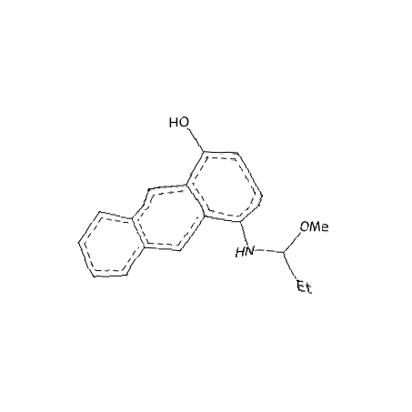 CCC(Nc1ccc(O)c2cc3ccccc3cc12)OC